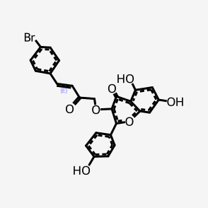 O=C(/C=C/c1ccc(Br)cc1)COc1c(-c2ccc(O)cc2)oc2cc(O)cc(O)c2c1=O